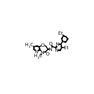 CCc1cccc(-c2nc(C(=O)/N=C3\COc4cc(C)cnc4N(C)C3=O)ncc2CC)c1